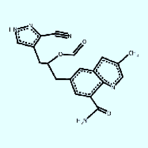 Cc1cnc2c(C(N)=O)cc(CC(Cc3c[nH]nc3C#N)OC=O)cc2c1